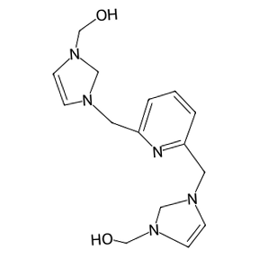 OCN1C=CN(Cc2cccc(CN3C=CN(CO)C3)n2)C1